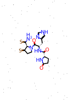 NC(=S)[C@@H]1C(=S)CCN1C(=O)[C@H](Cc1c[nH]cn1)NC(=O)[C@@H]1CCC(=O)N1